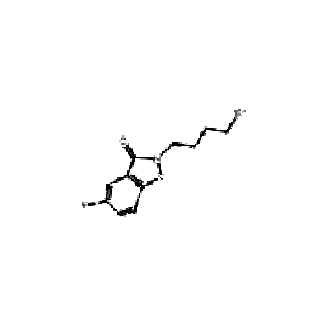 O=c1c2cc(F)ccc2sn1CCCCBr